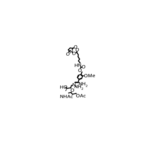 COc1cc(/C(N)=C/N(N)CC(OC(C)[C@H](COC(C)=O)NC(C)=O)[C@@H](C)O)ccc1COC(=O)NCCCCCC(=O)ON1C(=O)CCC1=O